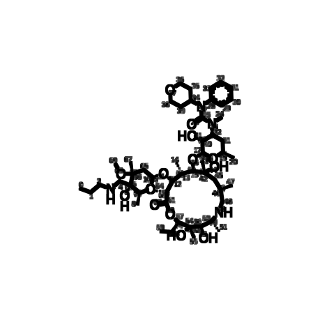 CCCNC[C@]1(O)[C@H](C)O[C@@H](O[C@H]2[C@H](C)[C@@H](O[C@@H]3O[C@H](C)C[C@H](N(C)C(=O)N(c4ccccc4)C4CCOCC4)[C@H]3O)[C@](C)(O)C[C@@H](C)CN[C@H](C)[C@@H](O)[C@](C)(O)[C@@H](CC)OC(=O)[C@@H]2C)C[C@@]1(C)OC